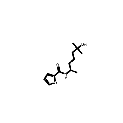 CC(CCCC(C)(C)O)NC(=O)c1cc[c]o1